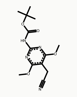 COc1nc(NC(=O)OC(C)(C)C)nc(OC)c1CC#N